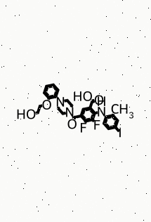 Cc1cc(I)ccc1Nc1c(C(=O)O)cc(C(=O)N2CCN(c3ccccc3OCCO)CC2)c(F)c1F